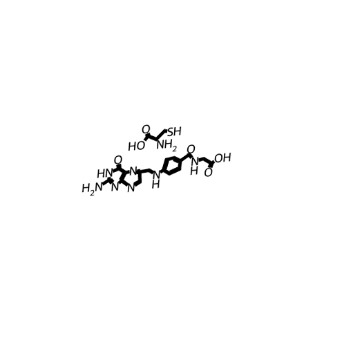 N[C@@H](CS)C(=O)O.Nc1nc2ncc(CNc3ccc(C(=O)NCC(=O)O)cc3)nc2c(=O)[nH]1